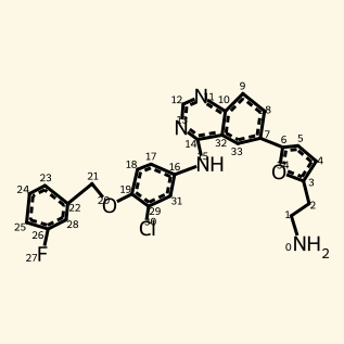 NCCc1ccc(-c2ccc3ncnc(Nc4ccc(OCc5cccc(F)c5)c(Cl)c4)c3c2)o1